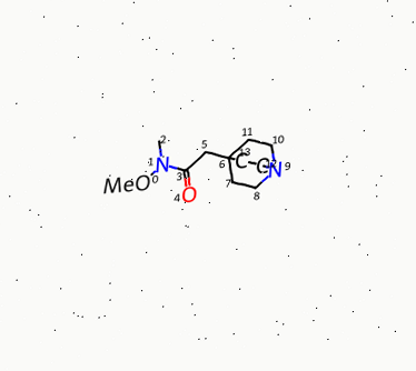 CON(C)C(=O)CC12CCN(CC1)CC2